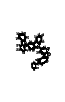 c1ccc(-c2ccc3oc4ncc(-n5c6ccccc6c6cc(-n7c8ccccc8c8ccccc87)ccc65)cc4c3c2)cc1